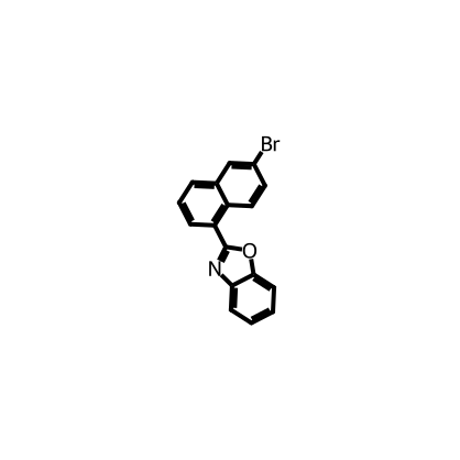 Brc1ccc2c(-c3nc4ccccc4o3)cccc2c1